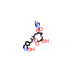 C/C(=C\c1ccc2ccnc(O)c2c1)[C@H]1OC(=O)C[C@H](O)CC[C@H](C)[C@H](OC(=O)N2CCN(C)CC2)/C=C/[C@@H]1C